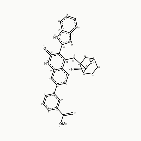 COC(=O)c1cccc(-c2ccc3c(N[C@@H]4CN5CCC4CC5)c(-c4nc5ccccc5[nH]4)c(=O)[nH]c3c2)c1